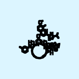 COc1ccc2c(O[C@@H]3C[C@H]4C(=O)N[C@]5(C(=O)NS(=O)(=O)C6(C)CC6)CC5/C=C\CCCCC[C@H](Nc5cccc(C)c5)C(=O)N4C3)cc(-c3nc(C(C)C)cs3)nc2c1C